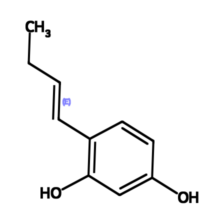 CC/C=C/c1ccc(O)cc1O